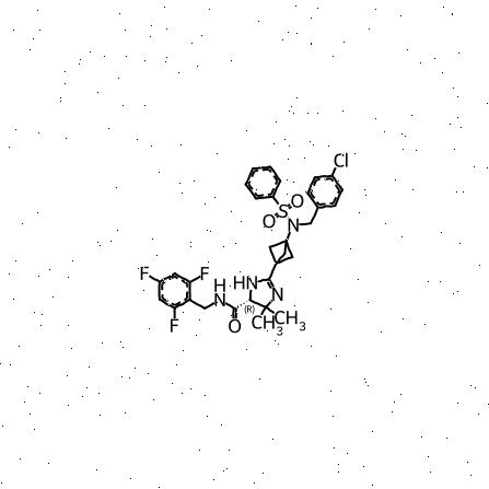 CC1(C)N=C(C23CC(N(Cc4ccc(Cl)cc4)S(=O)(=O)c4ccccc4)(C2)C3)N[C@H]1C(=O)NCc1c(F)cc(F)cc1F